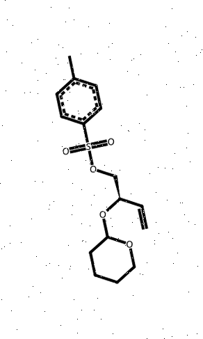 C=C[C@H](COS(=O)(=O)c1ccc(C)cc1)OC1CCCCO1